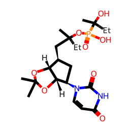 CCC(C)(C[C@H]1C[C@@H](n2ccc(=O)[nH]c2=O)[C@@H]2OC(C)(C)O[C@H]12)OP(=O)(O)C(C)(O)CC